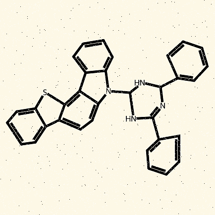 c1ccc(C2=NC(c3ccccc3)NC(n3c4ccccc4c4c5sc6ccccc6c5ccc43)N2)cc1